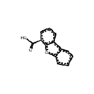 O=C(O)c1cccc2c1oc1ccccc12